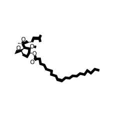 CCCCCCCCCC/C=C\CCCCCCCC(=O)O[C@@H]1CC[C@]2(CO2)[C@@H]([C@@]2(C)O[C@@H]2CC=C(C)C)[C@@H]1OC